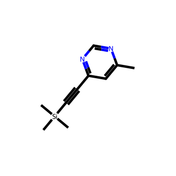 Cc1cc(C#C[Si](C)(C)C)ncn1